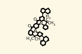 CC1(C)c2cc(-c3cccc4ccccc34)ccc2-n2c3cc4c(cc3c(=O)c3cccc1c32)c(=O)c1cc(-c2cccc3ccccc23)cc2c1n4-c1ccccc1C2(C)C